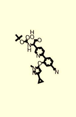 Cn1nc(C2CC2)cc1Oc1cc(C#N)ccc1-c1ccc(C(NC(=O)OC(C)(C)C)C(=O)O)cn1